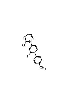 Cc1ccc(-c2ccc(N3N=CCOC3=O)cc2F)cc1